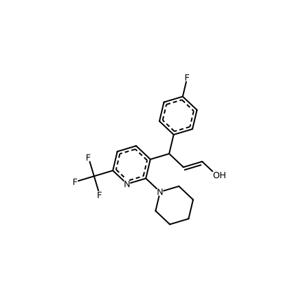 O/C=C/C(c1ccc(F)cc1)c1ccc(C(F)(F)F)nc1N1CCCCC1